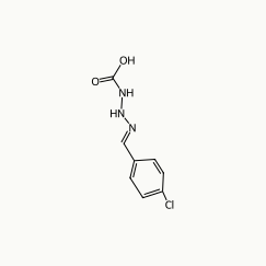 O=C(O)NNN=Cc1ccc(Cl)cc1